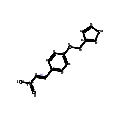 O=[N+]([O-])/C=C/c1ccc(OCc2ccsc2)cc1